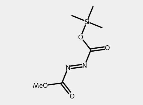 COC(=O)/N=N/C(=O)O[Si](C)(C)C